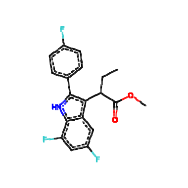 CCC(C(=O)OC)c1c(-c2ccc(F)cc2)[nH]c2c(F)cc(F)cc12